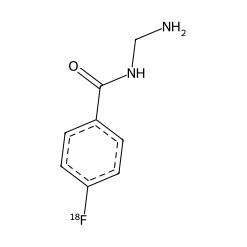 NCNC(=O)c1ccc([18F])cc1